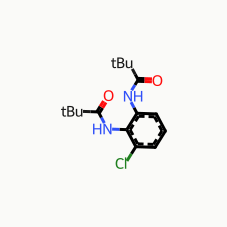 CC(C)(C)C(=O)Nc1cccc(Cl)c1NC(=O)C(C)(C)C